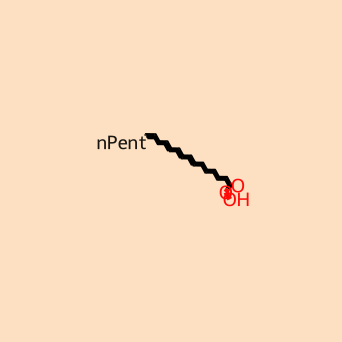 CCCCC/C=C\C/C=C/C=CC=CCCCCCC(=O)OO